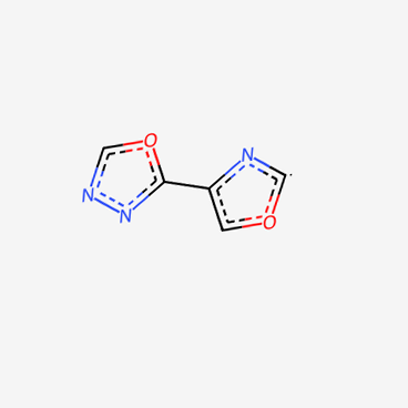 [c]1nc(-c2nnco2)co1